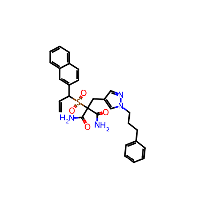 C=CC(c1ccc2ccccc2c1)S(=O)(=O)C(Cc1cnn(CCCc2ccccc2)c1)(C(N)=O)C(N)=O